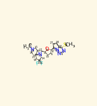 CSc1ncnn2c([C@H]3CC[C@@H](CN4CC(F)(F)CC45CCN(C)CC5)O3)ccc12